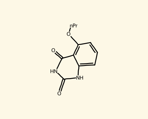 CCCOc1cccc2[nH]c(=O)[nH]c(=O)c12